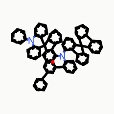 c1ccc(-c2cccc(-c3ccccc3N(c3cccc4c3-c3ccccc3C43c4ccccc4-c4ccccc43)c3cccc4c3-c3ccccc3C43c4ccccc4N(c4ccccc4)c4ccccc43)c2)cc1